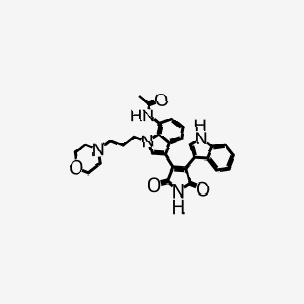 CC(=O)Nc1cccc2c(C3=C(c4c[nH]c5ccccc45)C(=O)NC3=O)cn(CCCN3CCOCC3)c12